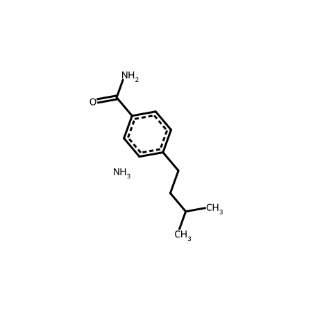 CC(C)CCc1ccc(C(N)=O)cc1.N